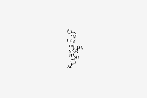 CC(=O)N1CCC(Nc2ncnc3c(NC[C@H](O)CN4CCc5ccccc5C4)n(C)nc23)CC1